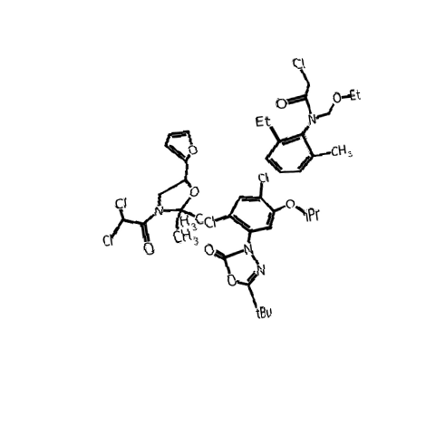 CC(C)Oc1cc(-n2nc(C(C)(C)C)oc2=O)c(Cl)cc1Cl.CC1(C)OC(c2ccco2)CN1C(=O)C(Cl)Cl.CCOCN(C(=O)CCl)c1c(C)cccc1CC